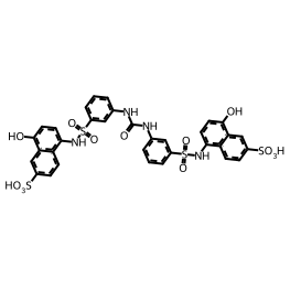 O=C(Nc1cccc(S(=O)(=O)Nc2ccc(O)c3cc(S(=O)(=O)O)ccc23)c1)Nc1cccc(S(=O)(=O)Nc2ccc(O)c3cc(S(=O)(=O)O)ccc23)c1